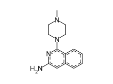 CN1CCN(c2nc(N)cc3ccccc23)CC1